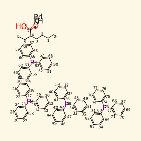 CCCCC(CC)C(=O)O.[KH].[Pd].c1ccc(P(c2ccccc2)c2ccccc2)cc1.c1ccc(P(c2ccccc2)c2ccccc2)cc1.c1ccc(P(c2ccccc2)c2ccccc2)cc1.c1ccc(P(c2ccccc2)c2ccccc2)cc1